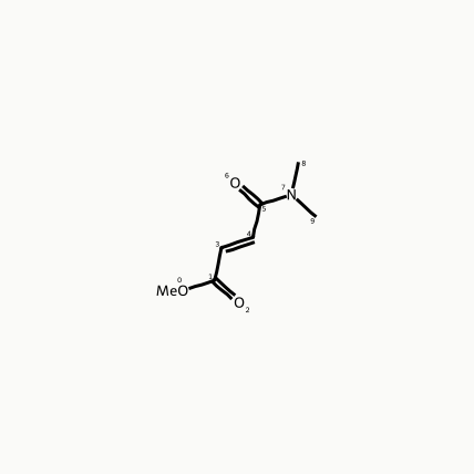 COC(=O)/C=C/C(=O)N(C)C